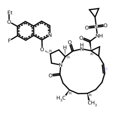 CCOc1cc2ccnc(O[C@@H]3C[C@H]4C(=O)N[C@]5(C(=O)NS(=O)(=O)C6CC6)CC5/C=C\CC[C@@H](C)C[C@@H](C)CC(=O)N4C3)c2cc1F